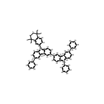 CC1(C)CCC(C)(C)c2cc(-n3c4ccc(-c5ccccc5)cc4c4cc(-c5ccc6c(c5)c5cc(-c7ccccc7)ccc5n6-c5ccccc5)ccc43)ccc21